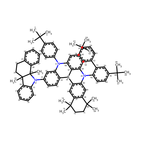 CC(C)(C)c1ccc(N2c3cc(N4c5ccccc5C5(C)CCc6ccccc6C45C)ccc3B3c4cc5c(cc4N(c4ccc(C(C)(C)C)cc4-c4ccccc4)c4cc(C(C)(C)C)cc2c43)C(C)(C)CCC5(C)C)cc1